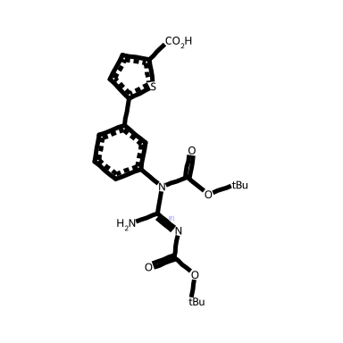 CC(C)(C)OC(=O)/N=C(\N)N(C(=O)OC(C)(C)C)c1cccc(-c2ccc(C(=O)O)s2)c1